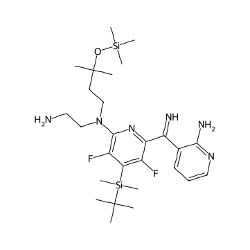 CC(C)(CCN(CCN)c1nc(C(=N)c2cccnc2N)c(F)c([Si](C)(C)C(C)(C)C)c1F)O[Si](C)(C)C